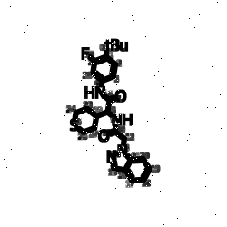 CC(C)(C)c1ccc(NC(=O)C(NC(=O)Cn2ncc3ccccc32)C2CCSCC2)cc1F